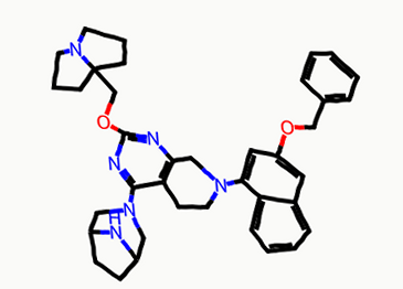 c1ccc(COc2cc(N3CCc4c(nc(OCC56CCCN5CCC6)nc4N4CC5CCC(C4)N5)C3)c3ccccc3c2)cc1